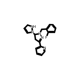 Fc1ccccc1CN1N=C(c2ccccn2)CC1N1C=CCN1